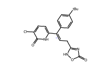 CC(C)(C)c1ccc(/C(=C\Cc2nc(=O)o[nH]2)c2ccc(Cl)c(=O)[nH]2)cc1